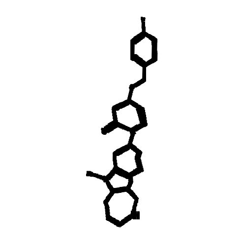 CCn1c2c(c3ccc(-n4ccc(OCc5ccc(F)cc5)cc4=O)cc31)CNCCC2